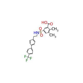 Cc1cc(S(=O)(=O)NCCc2ccc(-c3ccc(C(F)(F)F)cc3)cc2)cc(C(=O)O)c1C